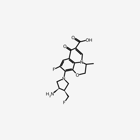 CC1COc2c(N3C[C@@H](CF)[C@@H](N)C3)c(F)cc3c(=O)c(C(=O)O)cn1c23